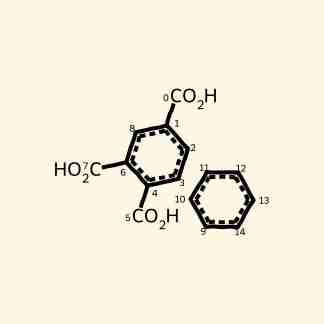 O=C(O)c1ccc(C(=O)O)c(C(=O)O)c1.c1ccccc1